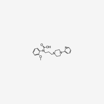 COc1ccccc1N(CCCN1CCN(c2ccccn2)CC1)C(=O)O